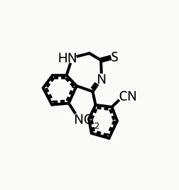 N#Cc1ccccc1C1=NC(=S)CNc2cccc([N+](=O)[O-])c21